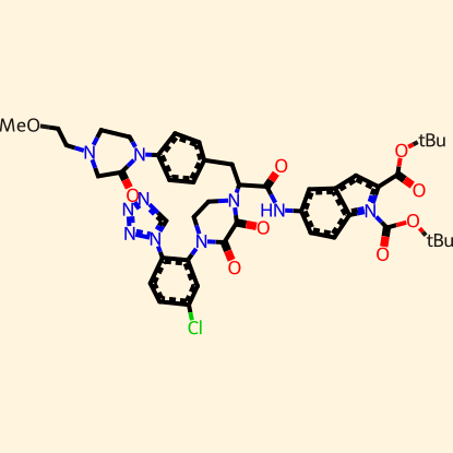 COCCN1CCN(c2ccc(CC(C(=O)Nc3ccc4c(c3)cc(C(=O)OC(C)(C)C)n4C(=O)OC(C)(C)C)N3CCN(c4cc(Cl)ccc4-n4cnnn4)C(=O)C3=O)cc2)C(=O)C1